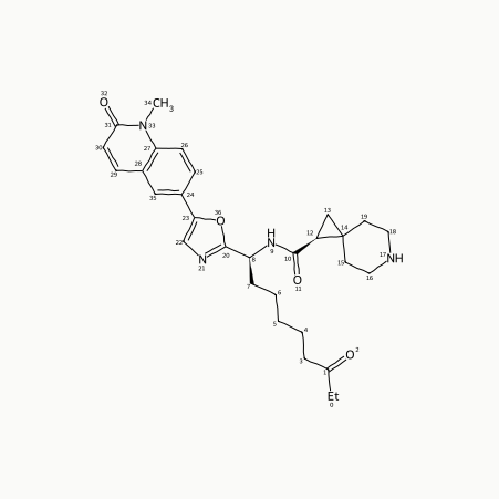 CCC(=O)CCCCC[C@H](NC(=O)[C@H]1CC12CCNCC2)c1ncc(-c2ccc3c(ccc(=O)n3C)c2)o1